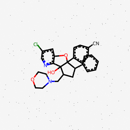 N#Cc1ccc(C23Oc4cc(Cl)cnc4C2(O)C(CN2CCOCC2)CC3c2ccccc2)cc1